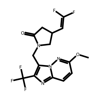 COc1ccc2nc(C(F)(F)F)c(CN3CC(C=C(F)F)CC3=O)n2n1